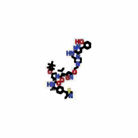 Cc1ncsc1-c1ccc([C@H](C)NC(=O)[C@@H]2CC(O[Si](C)(C)C(C)(C)C)CN2C(=O)[C@@H](c2cc(OCCN3CCN4c5cc(-c6ccccc6O)nnc5NCC4C3)no2)C(C)C)cc1